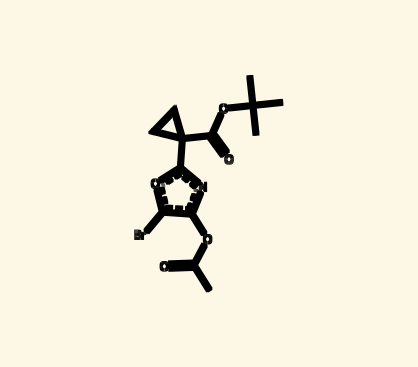 CC(=O)Oc1nc(C2(C(=O)OC(C)(C)C)CC2)oc1Br